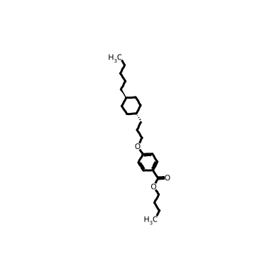 CCCCC[C@H]1CC[C@H](CCCOc2ccc(C(=O)OCCCC)cc2)CC1